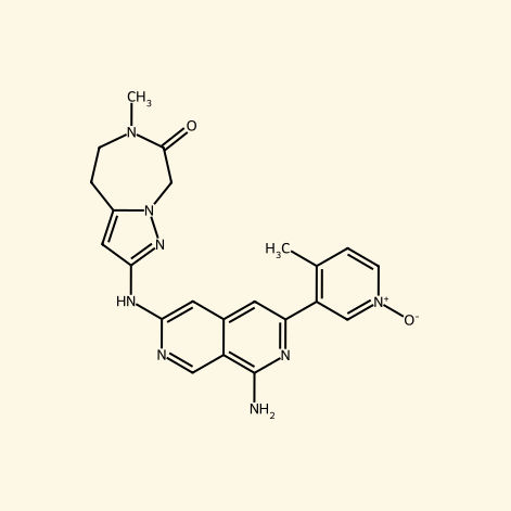 Cc1cc[n+]([O-])cc1-c1cc2cc(Nc3cc4n(n3)CC(=O)N(C)CC4)ncc2c(N)n1